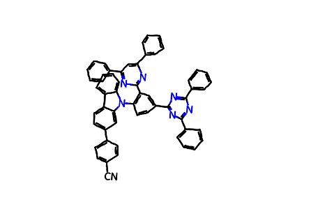 N#Cc1ccc(-c2ccc3c4ccccc4n(-c4ccc(-c5nc(-c6ccccc6)nc(-c6ccccc6)n5)cc4-c4nc(-c5ccccc5)cc(-c5ccccc5)n4)c3c2)cc1